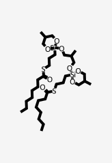 CCCCCCCC(=O)SCCC[Si]1(OCC(C)CO[Si]2(CCCSC(=O)CCCCCCC)OCC(C)CO2)OCC(C)CO1